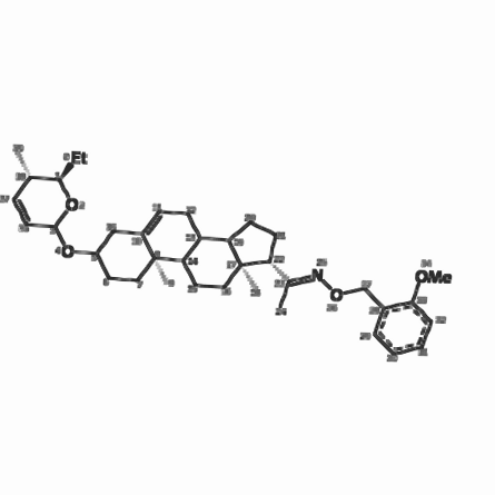 CC[C@H]1OC(OC2CC[C@@]3(C)C(=CCC4C3CC[C@@]3(C)C4CC[C@@H]3/C(C)=N/OCc3ccccc3OC)C2)C=C[C@@H]1C